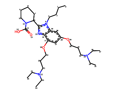 CCCCn1c(C2CCCCN2C(=O)O)nc2c(OCCCN(CC)CC)cc(OCCCN(CC)CC)cc21